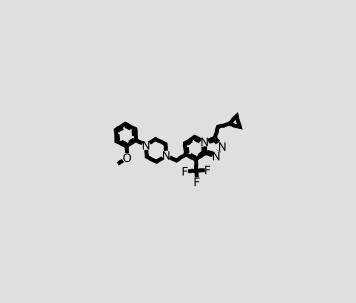 COc1ccccc1N1CCN(Cc2ccn3c(CC4CC4)nnc3c2C(F)(F)F)CC1